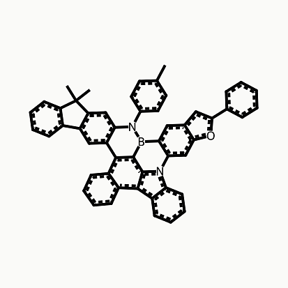 Cc1ccc(N2B3c4cc5cc(-c6ccccc6)oc5cc4-n4c5ccccc5c5c6ccccc6c(c3c54)-c3cc4c(cc32)C(C)(C)c2ccccc2-4)cc1